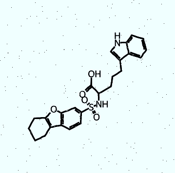 O=C(O)C(CCCc1c[nH]c2ccccc12)NS(=O)(=O)c1ccc2c3c(oc2c1)CCCC3